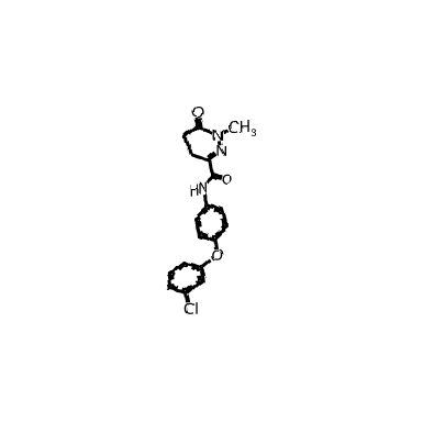 CN1N=C(C(=O)Nc2ccc(Oc3cccc(Cl)c3)cc2)CCC1=O